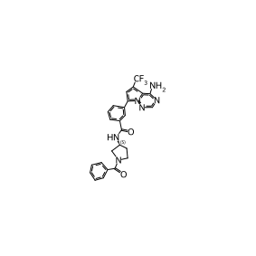 Nc1ncnn2c(-c3cccc(C(=O)N[C@H]4CCN(C(=O)c5ccccc5)C4)c3)cc(C(F)(F)F)c12